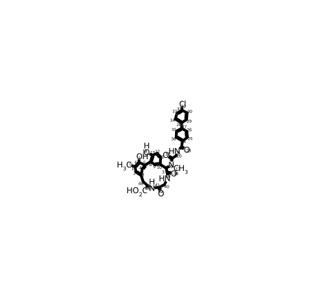 Cc1cc2cc(c1O)-c1cc(ccc1O)C(N(C)C(=O)CNC(=O)c1ccc(-c3ccc(Cl)cc3)cc1)C(=O)NCC(=O)NC(C(=O)O)C2